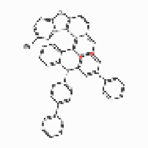 CC(C)(C)c1ccc2sc3ccc4cccc(-c5ccccc5N(c5ccc(-c6ccccc6)cc5)c5cccc(-c6ccccc6)c5)c4c3c2c1